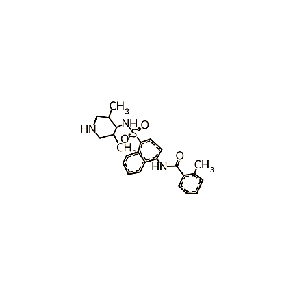 Cc1ccccc1C(=O)Nc1ccc(S(=O)(=O)NC2C(C)CNCC2C)c2ccccc12